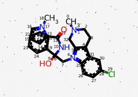 CN1CCc2c(n(CC(O)(NC(=O)c3cccn3C)c3ccccc3)c3ccc(Cl)cc23)C1